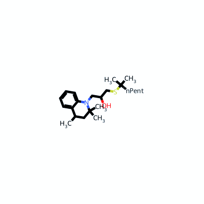 CCCCCC(C)(C)SCC(O)CN1c2ccccc2C(C)CC1(C)C